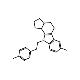 Cc1ccc2c(c1)c1c(n2CCc2ccc(C)nc2)C2CCCN2CC1